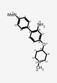 CNc1ccc(-c2ccc(OC3CCN(C)CC3)cc2N)cc1